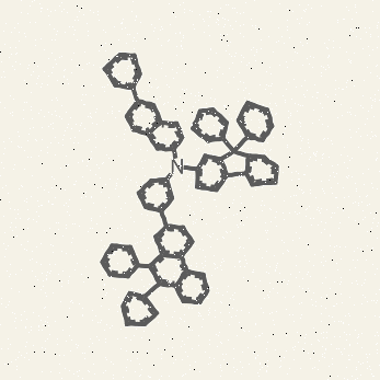 c1ccc(-c2ccc3cc(N(c4cccc(-c5ccc6c(c5)c(-c5ccccc5)c(-c5ccccc5)c5ccccc56)c4)c4ccc5c(c4)C(c4ccccc4)(c4ccccc4)c4ccccc4-5)ccc3c2)cc1